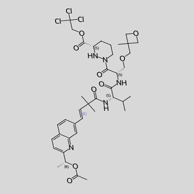 CC(=O)O[C@H](C)c1ccc2ccc(/C=C/C(C)(C)C(=O)N[C@H](C(=O)N[C@@H](COCC3(C)COC3)C(=O)N3CCC[C@@H](C(=O)OCC(Cl)(Cl)Cl)N3)C(C)C)cc2n1